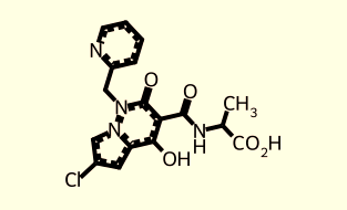 CC(NC(=O)c1c(O)c2cc(Cl)cn2n(Cc2ccccn2)c1=O)C(=O)O